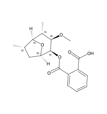 CO[C@@H]1[C@@H](C)[C@H]2O[C@H](C[C@@H]2C)[C@@H]1OC(=O)c1ccccc1C(=O)O